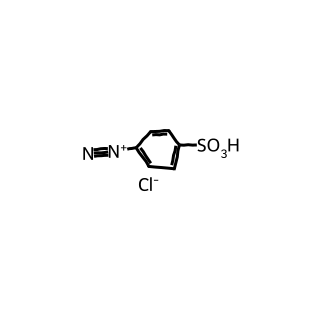 N#[N+]c1ccc(S(=O)(=O)O)cc1.[Cl-]